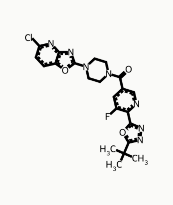 CC(C)(C)c1nnc(-c2ncc(C(=O)N3CCN(c4nc5nc(Cl)ccc5o4)CC3)cc2F)o1